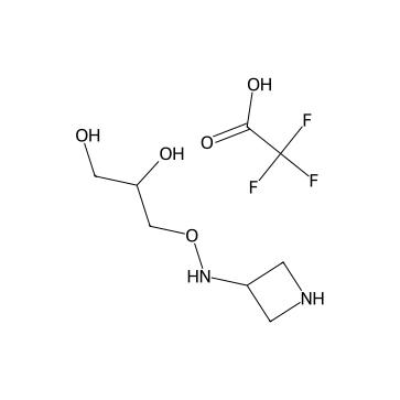 O=C(O)C(F)(F)F.OCC(O)CONC1CNC1